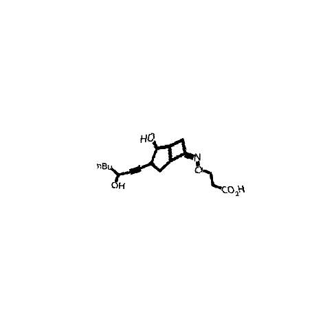 CCCCC(O)C#CC1CC2C(=NOCCC(=O)O)CC2C1O